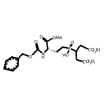 CCOC(=O)CC(CC(=O)OCC)P(=O)(O)CC[C@H](NC(=O)OCc1ccccc1)C(=O)OC